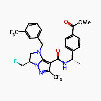 COC(=O)c1ccc([C@H](C)NC(=O)c2c(C(F)(F)F)nn3c2N(Cc2cccc(C(F)(F)F)c2)C[C@H]3CF)cc1